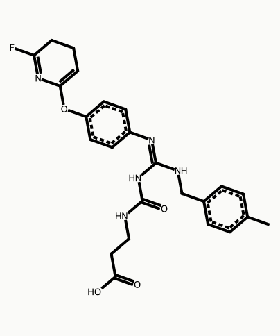 Cc1ccc(CN/C(=N/c2ccc(OC3=CCCC(F)=N3)cc2)NC(=O)NCCC(=O)O)cc1